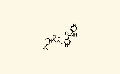 CCN(CCN(C)C)C(=O)CNCc1cc(C(=O)Nc2ccncc2)ccn1